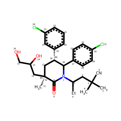 CCC(CC(C)(C)C#N)N1C(=O)[C@@](C)(CC(O)CO)C[C@H](c2cccc(Cl)c2)C1c1ccc(Cl)cc1